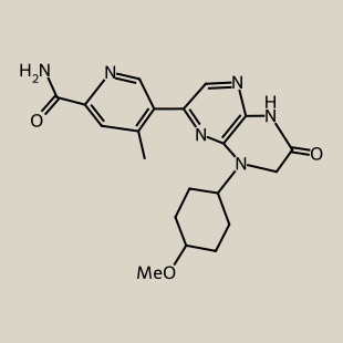 COC1CCC(N2CC(=O)Nc3ncc(-c4cnc(C(N)=O)cc4C)nc32)CC1